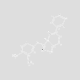 Nc1ccc(Cc2nnc3ccc(-c4ccccc4)nn23)cc1N